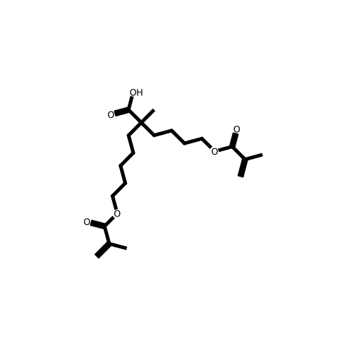 C=C(C)C(=O)OCCCCCC(C)(CCCCOC(=O)C(=C)C)C(=O)O